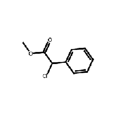 COC(=O)C(Cl)c1ccccc1